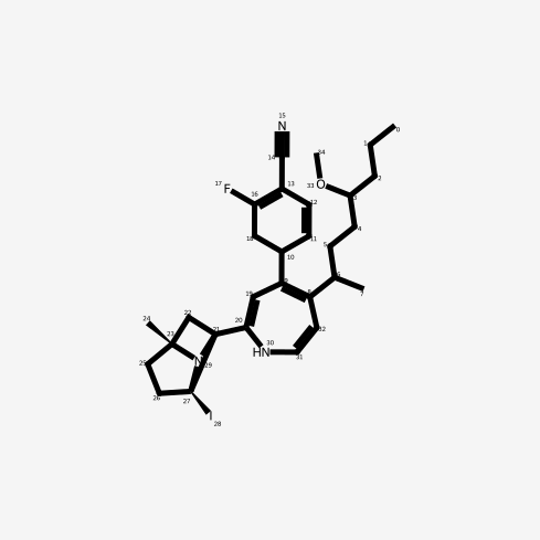 CCCC(CCC(C)C1=C(C2C=CC(C#N)=C(F)C2)C=C(C23C[C@@]4(C)CC[C@]2(I)N34)NC=C1)OC